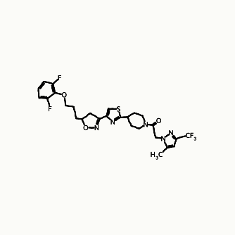 Cc1cc(C(F)(F)F)nn1CC(=O)N1CCC(c2nc(C3=NOC(CCCOc4c(F)cccc4F)C3)cs2)CC1